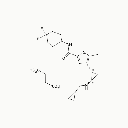 Cc1sc(C(=O)NC2CCC(F)(F)CC2)cc1[C@@H]1C[C@H]1NCC1CC1.O=C(O)C=CC(=O)O